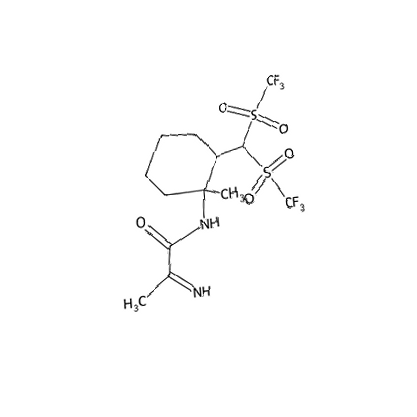 CC(=N)C(=O)NC1(C)CCCCC1C(S(=O)(=O)C(F)(F)F)S(=O)(=O)C(F)(F)F